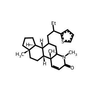 CCC(CC1CC2N(C)C(=O)C=C[C@]2(C)[C@@H]2CC[C@]3(C)CCC[C@H]3[C@H]12)c1cccs1